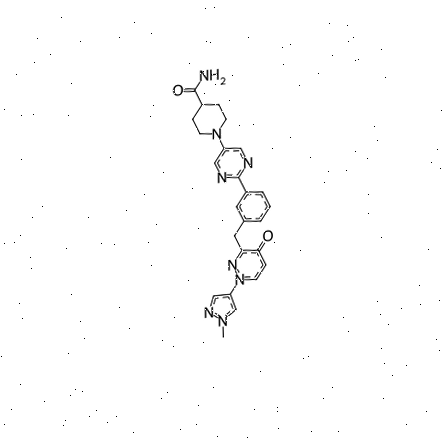 Cn1cc(-n2ccc(=O)c(Cc3cccc(-c4ncc(N5CCC(C(N)=O)CC5)cn4)c3)n2)cn1